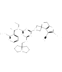 CCN(c1nc(OCC23CCCN2CCC3)nc(N2CC3(C2)SCc2sc(N)c(C#N)c23)n1)[C@H](C)c1cccnc1N